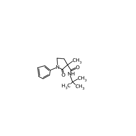 CC(C)(C)NC(=O)C1(C)CCN(c2ccccc2)C1=O